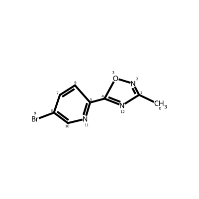 Cc1noc(-c2ccc(Br)cn2)n1